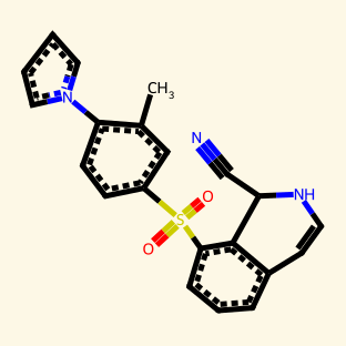 Cc1cc(S(=O)(=O)c2cccc3c2C(C#N)NC=C3)ccc1-n1cccc1